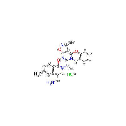 CCC(c1nc2onc(C(C)C)c2c(=O)n1Cc1ccccc1)N(CCCN)C(=O)c1ccc(C)cc1.Cl